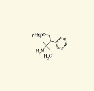 CCCCCCCCC(c1ccccc1)C(C)(C)N.O